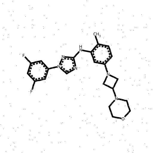 Cc1ccc(N2CC(N3CCOCC3)C2)cc1Nc1ncn(-c2cc(F)cc(F)c2)n1